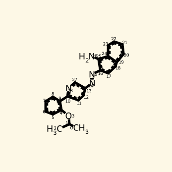 CC(C)Oc1ccccc1-c1ccc(N=Nc2ccc3ccccc3c2N)cn1